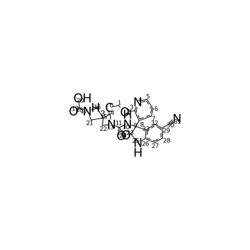 CCOc1ncccc1C1(NC(=O)N2CC3(CN(C(=O)O)C3)C2)C(=O)Nc2ccc(C#N)cc21